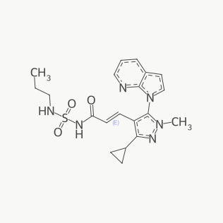 CCCNS(=O)(=O)NC(=O)/C=C/c1c(C2CC2)nn(C)c1-n1ccc2cccnc21